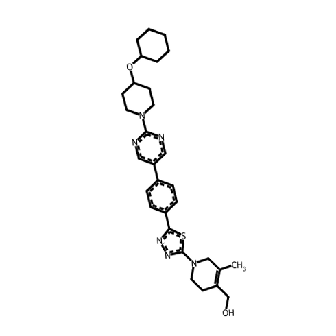 CC1=C(CO)CCN(c2nnc(-c3ccc(-c4cnc(N5CCC(OC6CCCCC6)CC5)nc4)cc3)s2)C1